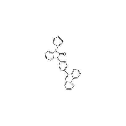 O=c1n(-c2ccccc2)c2ccccc2n1-c1ccc(-c2cc3ccccc3c3ccccc23)cc1